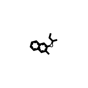 CCC(C)Oc1cc2ccccc2cc1C